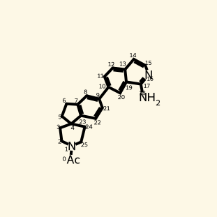 CC(=O)N1CCC2(CCc3cc(-c4ccc5ccnc(N)c5c4)ccc32)CC1